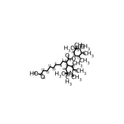 CC1C(OC(=O)C(CCCCCCCC(=O)O)C2CC(C)(C)N(C)C(C)C2C)CC(C)(C)N(C)C1C